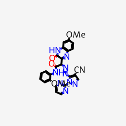 COc1ccc2nc(C(N=Nc3c(C#N)cnn3-c3ncccn3)C(=O)Nc3ccccc3OC)c(=O)[nH]c2c1